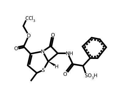 CC1C=C(C(=O)OCC(Cl)(Cl)Cl)N2C(=O)C(NC(=O)C(c3ccccc3)S(=O)(=O)O)[C@@H]2S1